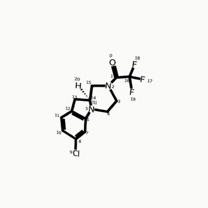 O=C(N1CCN2c3cc(Cl)ccc3C[C@H]2C1)C(F)(F)F